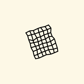 C1C2C3C4C5C6CC7C8C9C%10C%11C%12CC%13C%14C%15C%16C%17CC%18C%19C%20C%21C%22C1C21C32C43C54C67C85C96C%107C%118C%13%12C%149C%15%10C%16%11C%17%18C%19%12C%20%13C%21%14C%221C21C32C45C63C74C98C%105C%11%12C%136C%141C23C564